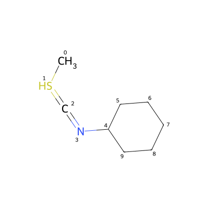 C[SH]=C=NC1CCCCC1